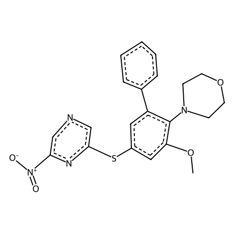 COc1cc(Sc2cncc([N+](=O)[O-])n2)cc(-c2ccccc2)c1N1CCOCC1